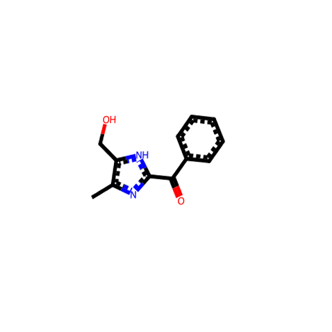 Cc1nc(C(=O)c2ccccc2)[nH]c1CO